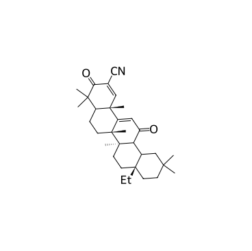 CC[C@]12CCC(C)(C)CC1C1C(=O)C=C3[C@@]4(C)C=C(C#N)C(=O)C(C)(C)C4CC[C@@]3(C)[C@]1(C)CC2